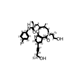 C[C@H](CO)N1C[C@H](C)[C@H](CN(C)C(=O)Nc2ccc(F)cc2)Oc2ncc(C#C[C@@H](C)O)cc2C1=O